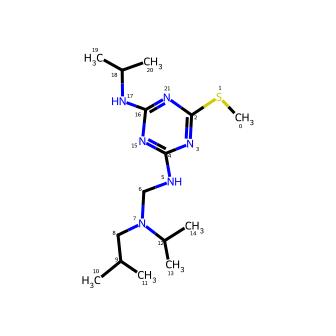 CSc1nc(NCN(CC(C)C)C(C)C)nc(NC(C)C)n1